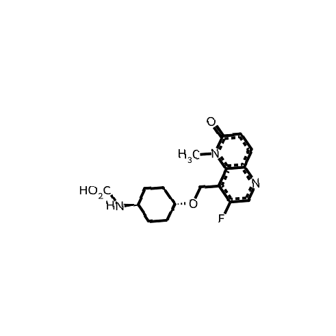 Cn1c(=O)ccc2ncc(F)c(CO[C@H]3CC[C@H](NC(=O)O)CC3)c21